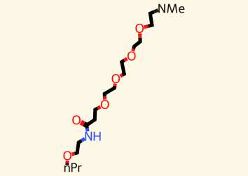 CCCOCCNC(=O)CCOCCOCCOCCOCCNC